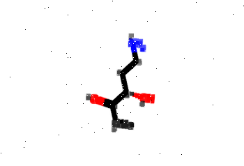 COC(=O)[C@@H](O)CCN